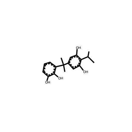 CC(C)c1c(O)cc(C(C)(C)c2cccc(O)c2O)cc1O